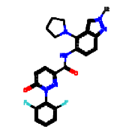 CCn1cc2c(N3CCCC3)c(NC(=O)c3ccc(=O)n(-c4c(F)cccc4F)n3)ccc2n1